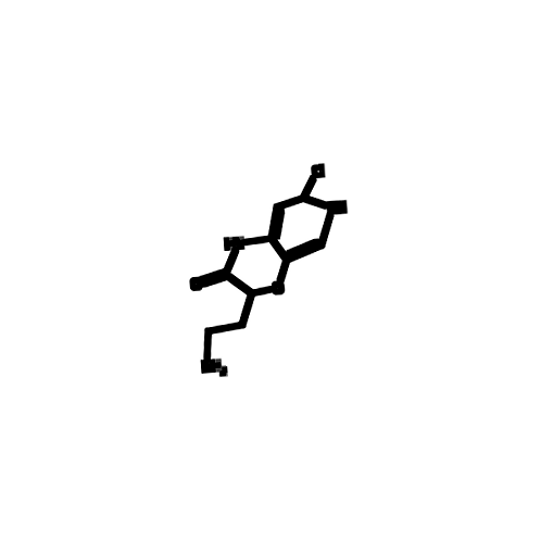 NCCC1OC2=CNC(Cl)C=C2NC1=O